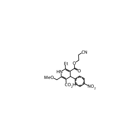 CCC1=C(C(=O)OCCC#N)C(c2ccc([N+](=O)[O-])cc2)C(C(=O)O)=C(COC)N1